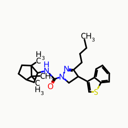 CCCCC1=NN(C(=O)NC2CC3CCC2(C)C3(C)C)CC1c1csc2ccccc12